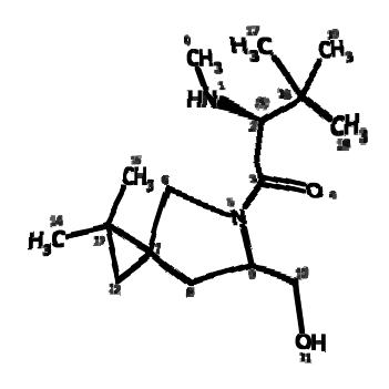 CN[C@H](C(=O)N1CC2(CC1CO)CC2(C)C)C(C)(C)C